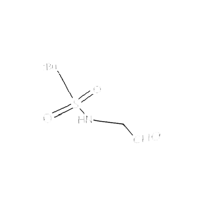 CC(C)(C)S(=O)(=O)NCC=O